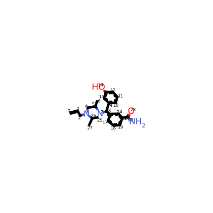 C=CCN1CC(C)N(C(c2cccc(O)c2)c2cccc(C(N)=O)c2)CC1C